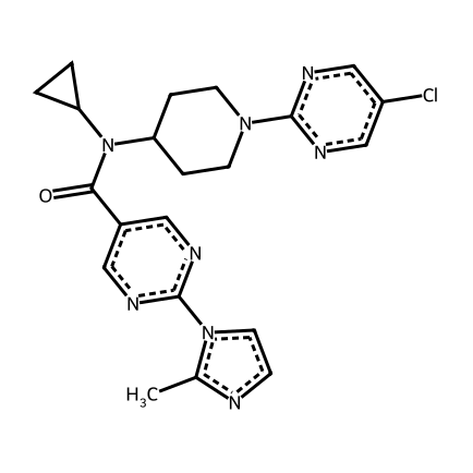 Cc1nccn1-c1ncc(C(=O)N(C2CC2)C2CCN(c3ncc(Cl)cn3)CC2)cn1